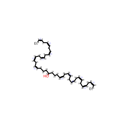 CC/C=C\C/C=C\C/C=C\C/C=C\C/C=C\C/C=C\CCCC(O)CCC/C=C\C/C=C\C/C=C\C/C=C\C/C=C\C/C=C\CC